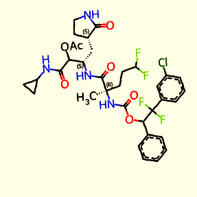 CC(=O)OC(C(=O)NC1CC1)[C@H](C[C@@H]1CCNC1=O)NC(=O)[C@@](C)(CCC(F)F)NC(=O)OC(c1ccccc1)C(F)(F)c1cccc(Cl)c1